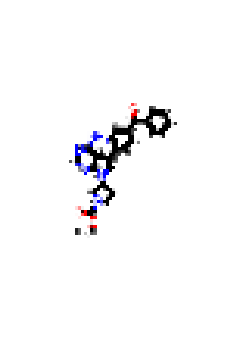 CC(C)(C)OC(=O)N1CCC(n2cc(-c3ccc(C(=O)c4ccccc4)cc3)c3c(N)ncnc32)C1